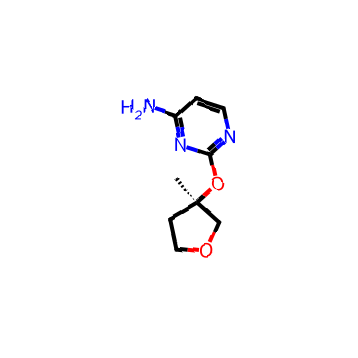 C[C@@]1(Oc2nccc(N)n2)CCOC1